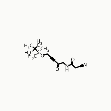 CC(C)(C)[Si](C)(C)OCC#CC(=O)CNC(=O)CC#N